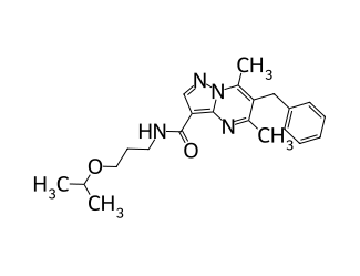 Cc1nc2c(C(=O)NCCCOC(C)C)cnn2c(C)c1Cc1ccccc1